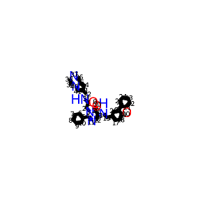 O=C(Cn1c(-c2ccccc2)ncc(NCc2ccc3oc4ccccc4c3c2)c1=O)NCc1cc2cnccn2c1